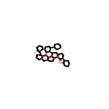 c1ccc(-c2ccccc2-c2c(-c3ccccc3)cccc2N(c2cccc(-c3cccc4c3oc3ccccc34)c2)c2cccc3sc4ccccc4c23)cc1